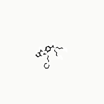 CCCCN(CCCC)C(=O)c1ccc2c(c1)n(CCCN1CCCCC1)c1nc3ccsc3c(=O)n21